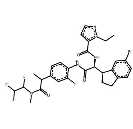 CCn1nccc1C(=O)N[C@H](C(=O)Nc1ccc(C(C)C(=O)N(C)C(F)C(F)F)cc1F)[C@@H]1CCc2ccc(Br)cc21